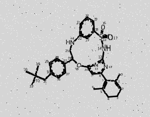 CC1=CCCC(C)=C1c1cc2nc(n1)NS(=O)(=O)c1cccc(c1)NCC(c1ccc(CC(C)(C)C)cc1)O2